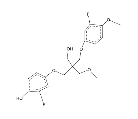 COCC(CO)(COc1ccc(O)c(F)c1)COc1ccc(OC)c(F)c1